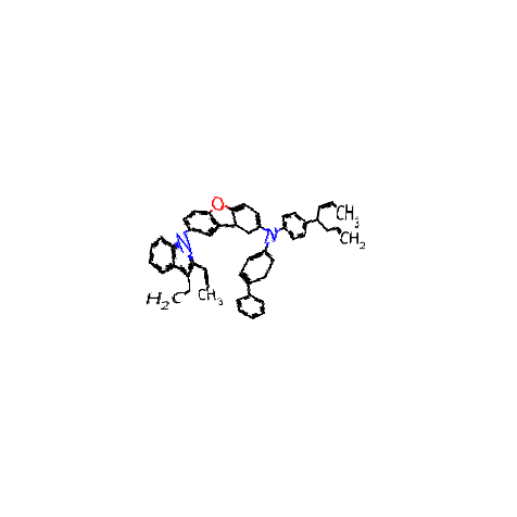 C=CCC(/C=C\C)c1ccc(N(C2=CC=C(c3ccccc3)CC2)C2=CC=C3Oc4ccc(-n5c(/C=C\C)c(C=C)c6ccccc65)cc4C3C2)cc1